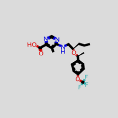 CCC[C@H](CNc1ncnc(C(=O)O)c1C)O[C@@H](C)c1ccc(OC(F)(F)F)cc1